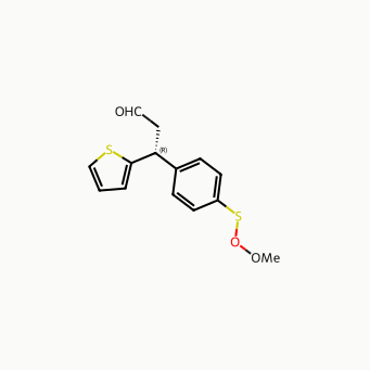 COOSc1ccc([C@@H](CC=O)c2cccs2)cc1